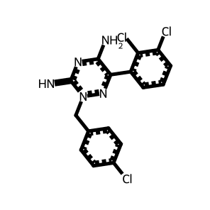 N=c1nc(N)c(-c2cccc(Cl)c2Cl)nn1Cc1ccc(Cl)cc1